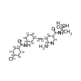 C[SH](C)(O)=NC(=O)c1cnc(N)c(C#Cc2cccc(NC(=O)c3ccc(Cl)cc3)c2)c1